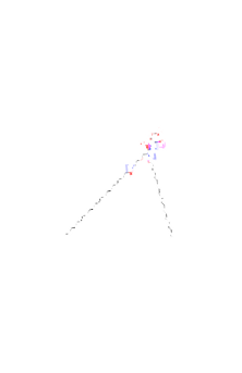 CCC=CCC=CCC=CCC=CCC=CCC=CCCC(=O)NCCCCC(NC(=O)CCCC=CCC=CCC=CCC=CCC=CCC)C(=O)N[C@@H]1[C@@H](O)[C@H](O)[C@@H](CO)O[C@H]1O